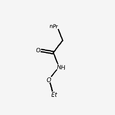 CCCCC(=O)NOCC